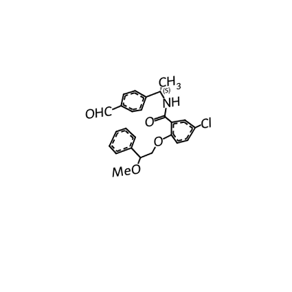 COC(COc1ccc(Cl)cc1C(=O)N[C@@H](C)c1ccc(C=O)cc1)c1ccccc1